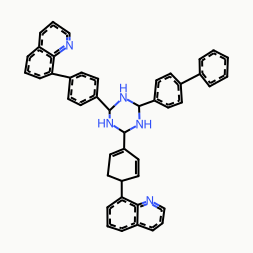 C1=CC(c2cccc3cccnc23)CC=C1C1NC(c2ccc(-c3ccccc3)cc2)NC(c2ccc(-c3cccc4cccnc34)cc2)N1